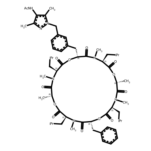 CC(=O)Nc1c(C)nn(Cc2cccc(C[C@H]3OC(=O)[C@H](CC(C)C)N(C)C(=O)[C@@H](C)OC(=O)[C@H](CC(C)C)N(C)C(=O)[C@@H](Cc4ccccc4)OC(=O)[C@H](CC(C)C)N(C)C(=O)[C@@H](C)OC(=O)[C@H](CC(C)C)N(C)C3=O)c2)c1C